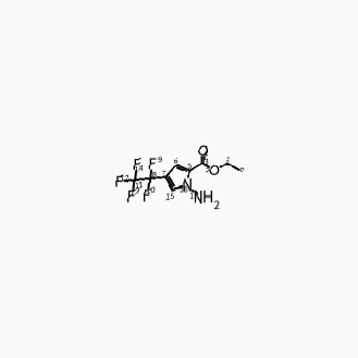 CCOC(=O)c1cc(C(F)(F)C(F)(F)F)cn1N